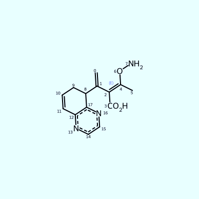 C=C(/C(C(=O)O)=C(/C)ON)C1CC=Cc2nccnc21